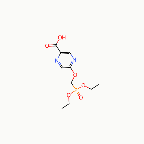 CCOP(=O)(COc1cnc(C(=O)O)cn1)OCC